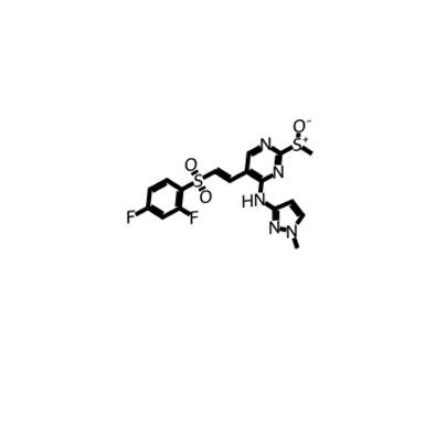 Cn1ccc(Nc2nc([S+](C)[O-])ncc2C=CS(=O)(=O)c2ccc(F)cc2F)n1